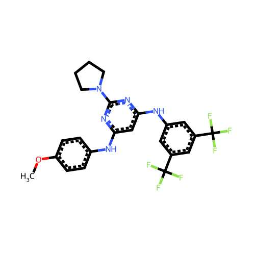 COc1ccc(Nc2cc(Nc3cc(C(F)(F)F)cc(C(F)(F)F)c3)nc(N3CCCC3)n2)cc1